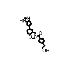 O=C(c1ccc(CCO)cc1)N1CCOc2ccc(-c3ccc4nc[nH]c4c3)cc2C1